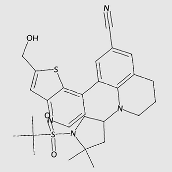 CC1(C)CC(N2CCCc3cc(C#N)cc(-c4ccnc5cc(CO)sc45)c32)CN1S(=O)(=O)C(C)(C)C